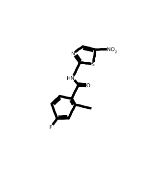 Cc1cc(F)ccc1C(=O)Nc1ncc([N+](=O)[O-])s1